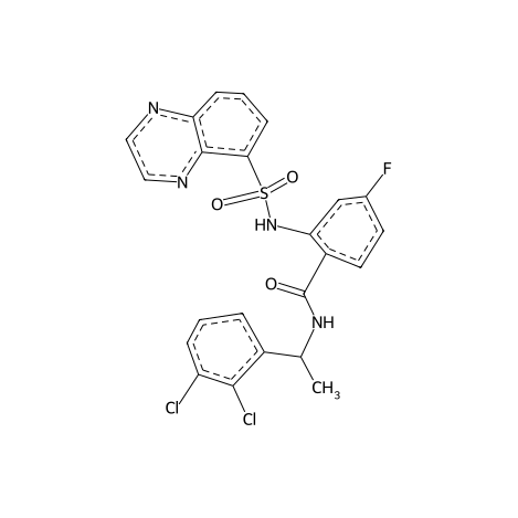 CC(NC(=O)c1ccc(F)cc1NS(=O)(=O)c1cccc2nccnc12)c1cccc(Cl)c1Cl